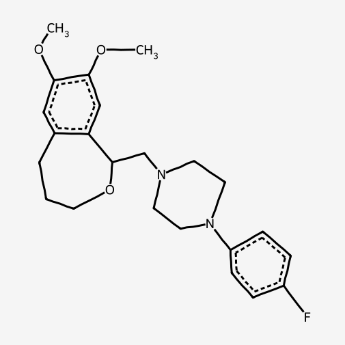 COc1cc2c(cc1OC)C(CN1CCN(c3ccc(F)cc3)CC1)OCCC2